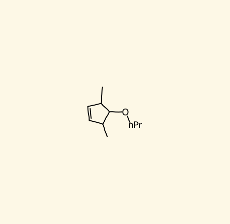 CCCOC1C(C)C=CC1C